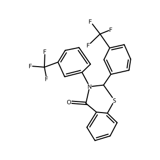 O=C1c2ccccc2SC(c2cccc(C(F)(F)F)c2)N1c1cccc(C(F)(F)F)c1